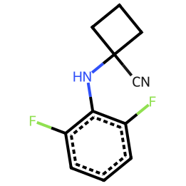 N#CC1(Nc2c(F)cccc2F)CCC1